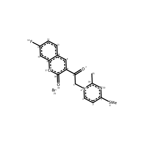 CSc1cc[n+](CC(=O)c2cc3ccc(F)cc3oc2=O)c(C)n1.[Br-]